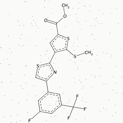 COC(=O)c1cc(-c2nc(-c3cc(F)cc(C(F)(F)F)c3)cs2)c(SC)s1